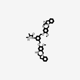 CNC(C)C(=O)Nc1cc(COc2cc3c(cc2OC)CN2c4ccccc4C[C@H]2C=N3)cc(COc2cc3c(cc2OC)CN2c4ccccc4CC2CN3)c1